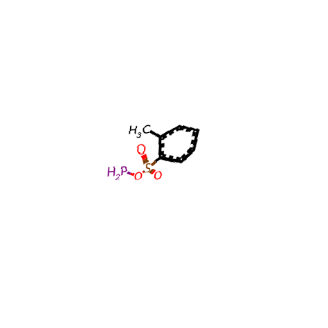 Cc1ccccc1S(=O)(=O)OP